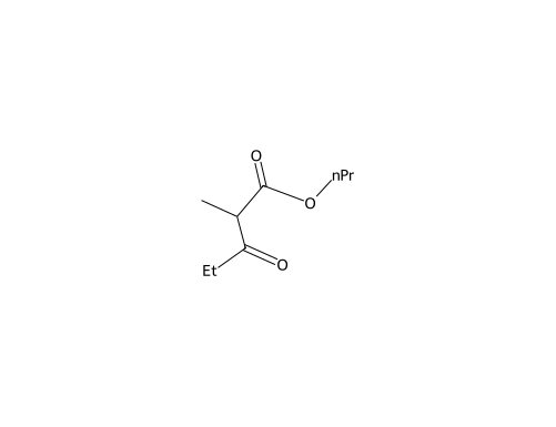 CCCOC(=O)C(C)C(=O)CC